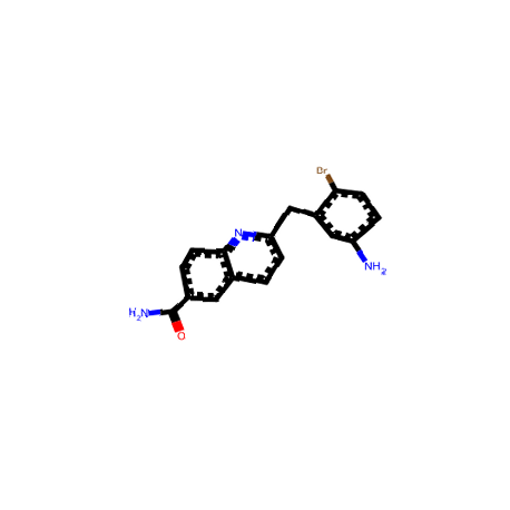 NC(=O)c1ccc2nc(Cc3cc(N)ccc3Br)ccc2c1